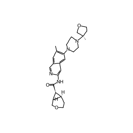 Cc1cc2cnc(NC(=O)[C@@H]3[C@@H]4COCC[C@@H]43)cc2cc1N1CCN([C@]2(C)CCOC2)CC1